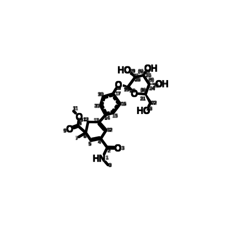 CNC(=O)C1=CC(C)(C(=O)OC)CC(c2ccc(O[C@H]3O[C@H](CO)[C@@H](O)[C@H](O)[C@@H]3O)cc2)=C1